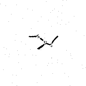 CS[S+](C)SC